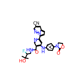 CC(C)(O)C(F)CNC(=O)c1cnc(-c2ccc3cc(C#N)cnn23)cc1NC12CCC(N3CCOC3=O)(CC1)CC2